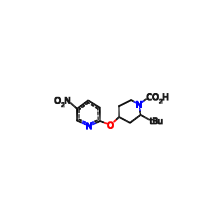 CC(C)(C)C1CC(Oc2ccc([N+](=O)[O-])cn2)CCN1C(=O)O